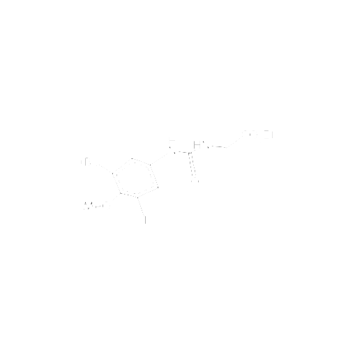 CCOC(=O)CNC(=O)Nc1cc(I)c(OC)c(C(C)(C)C)c1